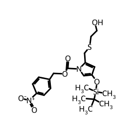 CC(C)(C)[Si](C)(C)Oc1cc(CSCCO)n(C(=O)OCc2ccc([N+](=O)[O-])cc2)c1